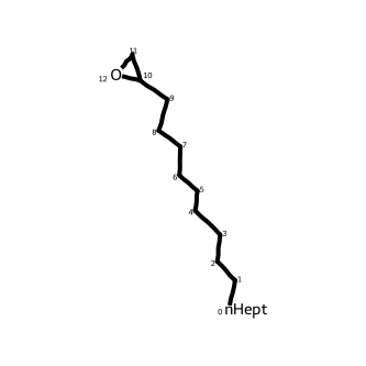 CCCCCCCCCCCCCCCCC1CO1